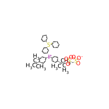 CC(C)(C)c1ccc([I+]c2ccc(C(C)(C)C)cc2)cc1.O=S(=O)([O-])CS(=O)(=O)[O-].c1ccc([S+](c2ccccc2)c2ccccc2)cc1